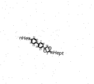 CCCCCCC[C@H]1CO[C@H](c2ccc(-c3ccc(CCCCCC)cc3)cc2)CO1